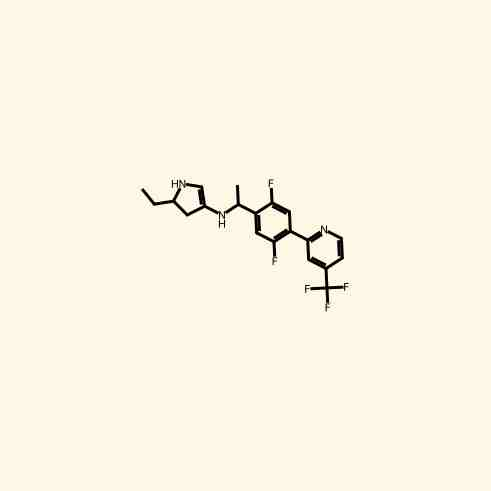 CCC1CC(NC(C)c2cc(F)c(-c3cc(C(F)(F)F)ccn3)cc2F)=CN1